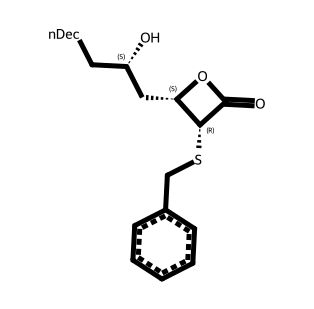 CCCCCCCCCCC[C@H](O)C[C@@H]1OC(=O)[C@@H]1SCc1ccccc1